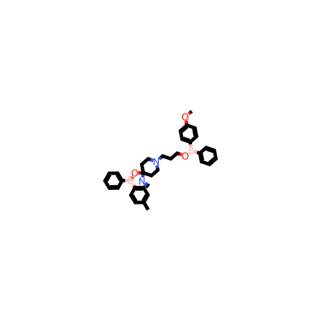 C=NC1(OB(c2ccccc2)c2ccc(C)cc2)CCN(CCCOB(c2ccccc2)c2ccc(OC)cc2)CC1